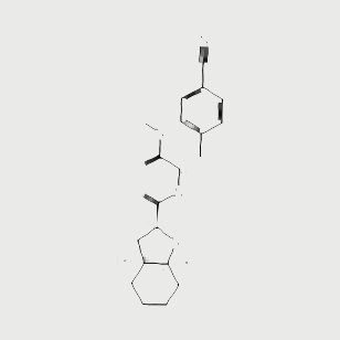 CNC(=O)[C@H](Cc1ccc(C#N)cc1)NC(=O)[C@@H]1C[C@@H]2CCCC[C@@H]2N1